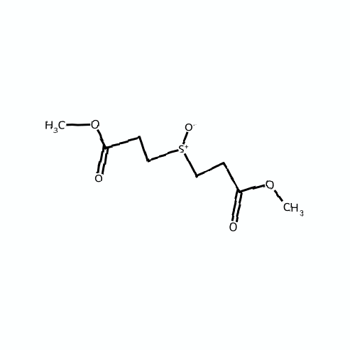 COC(=O)CC[S+]([O-])CCC(=O)OC